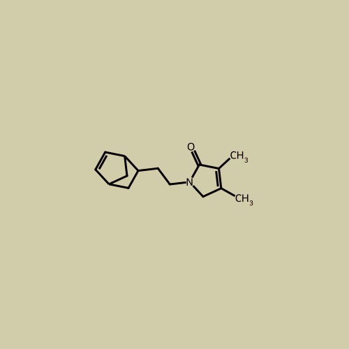 CC1=C(C)C(=O)N(CCC2CC3C=CC2C3)C1